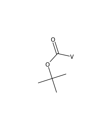 CC(C)(C)O[C](=O)[V]